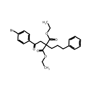 CCOC(=O)C(CCCc1ccccc1)(CC(=O)c1ccc(Br)cc1)C(=O)OCC